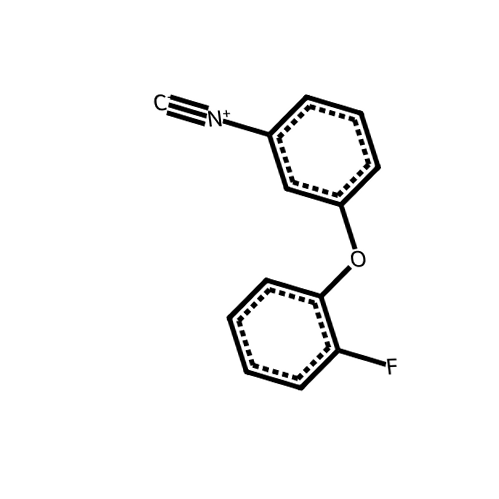 [C-]#[N+]c1cccc(Oc2ccccc2F)c1